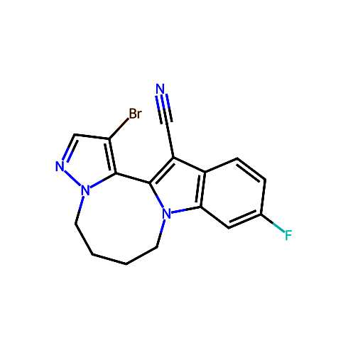 N#Cc1c2n(c3cc(F)ccc13)CCCCn1ncc(Br)c1-2